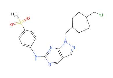 CS(=O)(=O)c1ccc(Nc2ncc3cnn(CC4CCC(CCl)CC4)c3n2)cc1